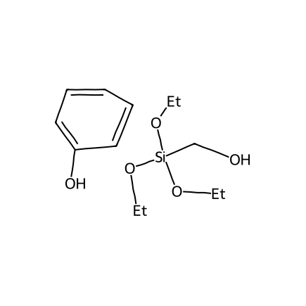 CCO[Si](CO)(OCC)OCC.Oc1ccccc1